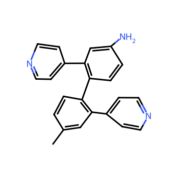 Cc1ccc(-c2ccc(N)cc2-c2ccncc2)c(-c2ccncc2)c1